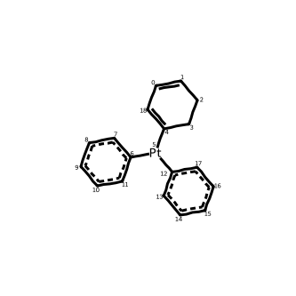 C1=CCC[C]([Pt]([c]2ccccc2)[c]2ccccc2)=C1